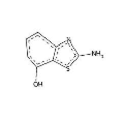 Nc1nc2cccc(O)c2s1